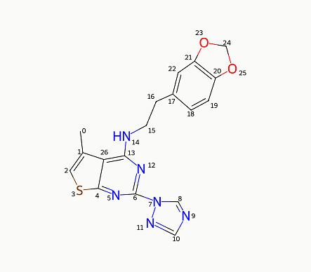 Cc1csc2nc(-n3cncn3)nc(NCCc3ccc4c(c3)OCO4)c12